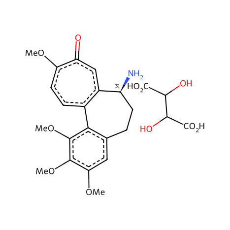 COc1cc2c(c(OC)c1OC)-c1ccc(OC)c(=O)cc1[C@@H](N)CC2.O=C(O)C(O)C(O)C(=O)O